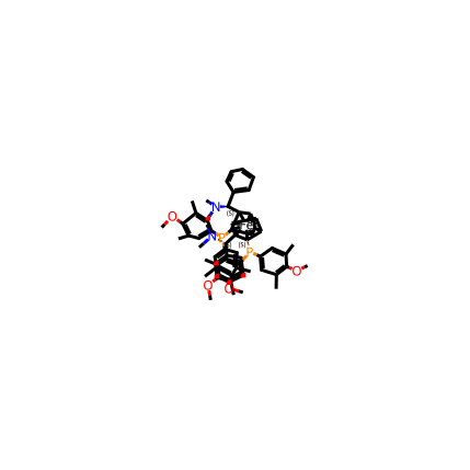 COc1c(C)cc(P(c2cc(C)c(OC)c(C)c2)[C]23[CH]4[CH]5[CH]6[C]2([C@H](c2ccccc2)N(C)C)[Fe]56432789[CH]3[CH]2[C]7([C@H](c2ccccc2)N(C)C)[C@]8(P(c2cc(C)c(OC)c(C)c2)c2cc(C)c(OC)c(C)c2)[CH]39)cc1C